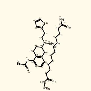 CCCCNC(=O)CCCCCCCCCCCC(N)=O.CCCN(CCc1cccs1)[C@@H]1CCc2c(cccc2OC(=O)CC)C1